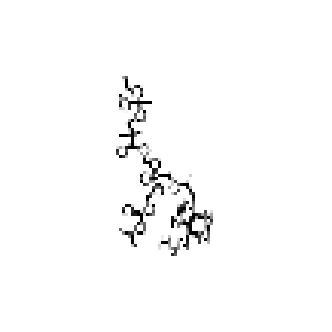 CCOC(C)(OC)OCC(C)(C)C(=O)OCOP(=O)(CO[C@H](C)Cn1cnc2c(N)ncnc21)OCOC(=O)OC(C)C